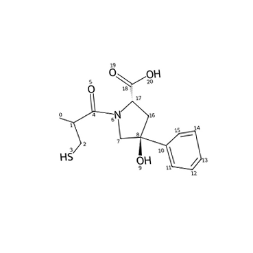 CC(CS)C(=O)N1C[C@@](O)(c2ccccc2)C[C@H]1C(=O)O